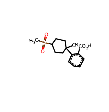 CS(=O)(=O)C1CCC(C#N)(c2ccccc2C(=O)O)CC1